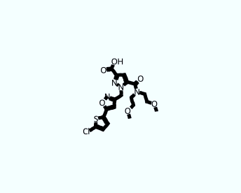 COCCN(CCOC)C(=O)c1cc(C(=O)O)nn1Cc1cc(-c2ccc(Cl)s2)on1